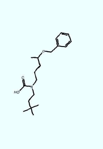 CC(CCCN(CCC(C)(C)C)C(=O)O)OCc1ccccc1